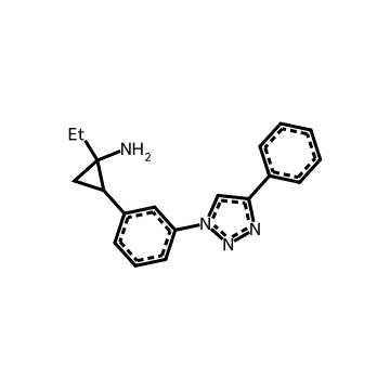 CCC1(N)CC1c1cccc(-n2cc(-c3ccccc3)nn2)c1